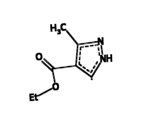 CCOC(=O)c1[c][nH]nc1C